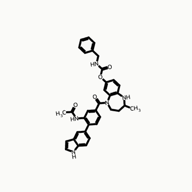 CC(=O)Nc1cc(C(=O)N2CCC(C)Nc3ccc(OC(=O)NCc4ccccc4)cc32)ccc1-c1ccc2[nH]ccc2c1